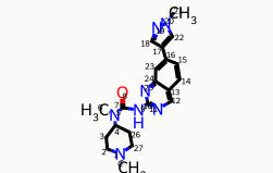 CN1CCC(N(C)C(=O)Nc2ncc3ccc(-c4cnn(C)c4)cc3n2)CC1